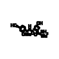 C#Cc1ccc(CNC(=O)[C@@H]2C[C@@H](O)CN2C(=O)[C@@H](N)C(C)(C)C)c(OC)c1